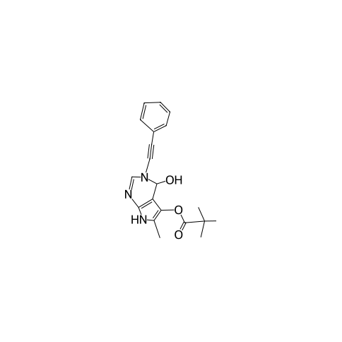 Cc1[nH]c2c(c1OC(=O)C(C)(C)C)C(O)N(C#Cc1ccccc1)C=N2